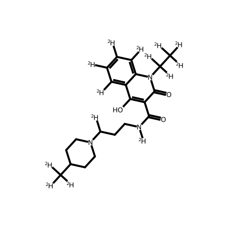 [2H]c1c([2H])c([2H])c2c(c1[2H])c(O)c(C(=O)N([2H])CCC([2H])N1CCC(C([2H])([2H])[2H])CC1)c(=O)n2C([2H])([2H])C([2H])([2H])[2H]